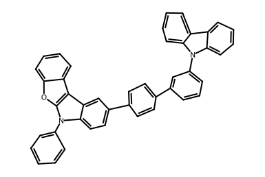 c1ccc(-n2c3ccc(-c4ccc(-c5cccc(-n6c7ccccc7c7ccccc76)c5)cc4)cc3c3c4ccccc4oc32)cc1